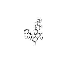 Cc1cc(C(C)Nc2ccccc2C(=O)O)c2cc(-c3cnc(C(C)(C)O)nc3)n(C)c(=O)c2c1